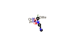 COc1cc(-c2nn(-c3ccc(CCN4CCCC4)cc3)c(=O)n2C(OC=O)C(=O)NC(C)C)ccc1F